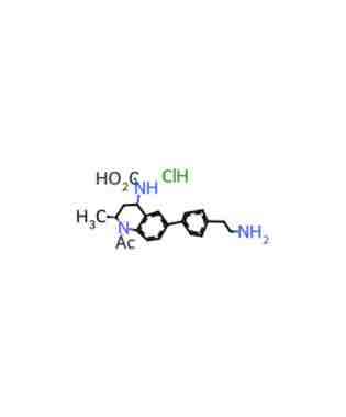 CC(=O)N1c2ccc(-c3ccc(CCN)cc3)cc2[C@H](NC(=O)O)C[C@@H]1C.Cl